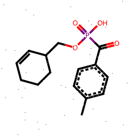 Cc1ccc(C(=O)P(=O)(O)OCC2C=CCCC2)cc1